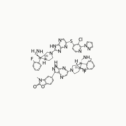 Cn1c(=O)oc2ccc(-c3n[nH]c4nc(N5CC[C@@H]6[C@H](C5)[C@@]6(CN)c5ccccc5F)cnc34)cc21.NC[C@]1(c2ccccc2F)[C@@H]2CCN(c3nc4nc(Sc5ccnc(-n6cccn6)c5Cl)cnc4[nH]3)C[C@@H]21